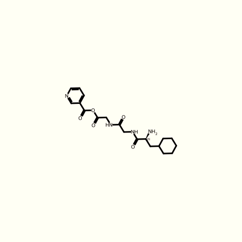 N[C@@H](CC1CCCCC1)C(=O)NCC(=O)NCC(=O)OC(=O)c1cccnc1